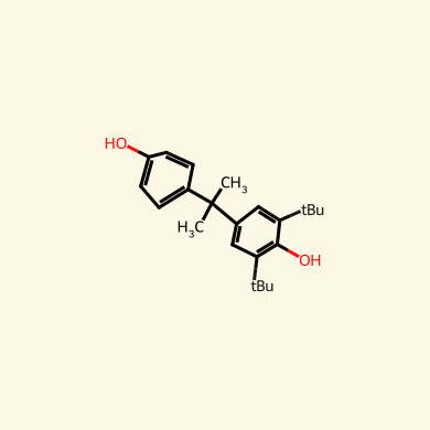 CC(C)(C)c1cc(C(C)(C)c2ccc(O)cc2)cc(C(C)(C)C)c1O